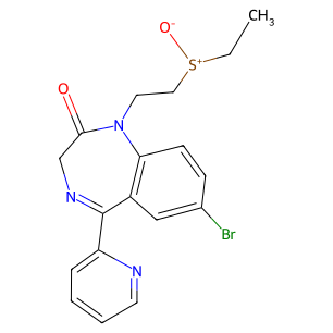 CC[S+]([O-])CCN1C(=O)CN=C(c2ccccn2)c2cc(Br)ccc21